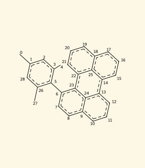 Cc1cc(C)c(-c2ccc3cccc4c5cccc6cccc(c2c34)c65)c(C)c1